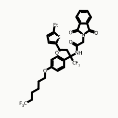 CCc1ccc(C(=O)CC(NC(=O)CN2C(=O)c3ccccc3C2=O)(c2ccc(OCCCCCC(F)(F)F)cc2)C(F)(F)F)s1